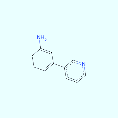 NC1=CC(c2cccnc2)=CCC1